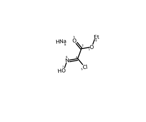 CCOC(=O)C(Cl)=NO.[NaH]